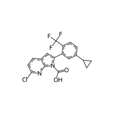 O=C(O)n1c(-c2cc(C3CC3)ccc2C(F)(F)F)cc2ccc(Cl)nc21